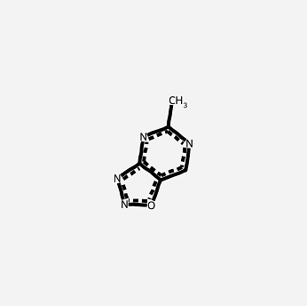 Cc1ncc2onnc2n1